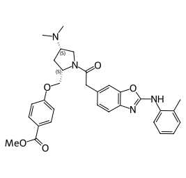 COC(=O)c1ccc(OC[C@@H]2C[C@H](N(C)C)CN2C(=O)Cc2ccc3nc(Nc4ccccc4C)oc3c2)cc1